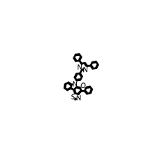 c1ccc(-c2cc(-c3ccccc3)nc(-c3ccc(-n4c5ccccc5c5c6scnc6c6c7ccccc7oc6c54)cc3)n2)cc1